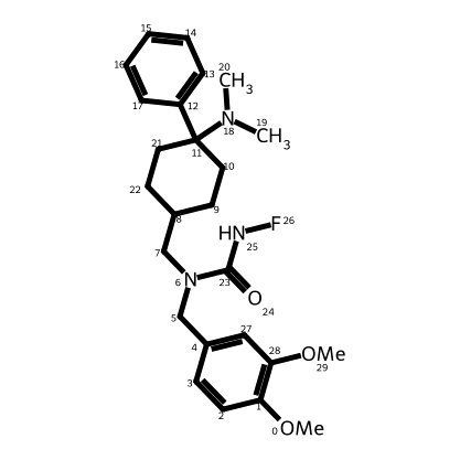 COc1ccc(CN(CC2CCC(c3ccccc3)(N(C)C)CC2)C(=O)NF)cc1OC